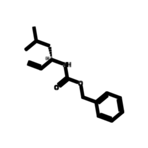 C=C[C@H](CC(C)C)NC(=O)OCc1ccccc1